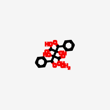 O.O=C(O)C(O)(C(=O)c1ccccc1)C(O)(C(=O)O)C(=O)c1ccccc1